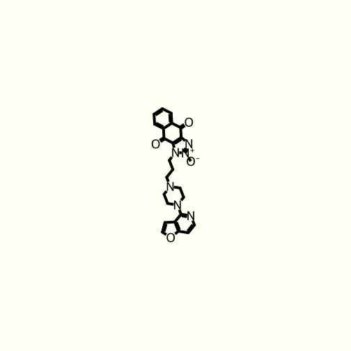 O=C1c2ccccc2C(=O)c2c1n[n+]([O-])n2CCCN1CCN(c2nccc3occc23)CC1